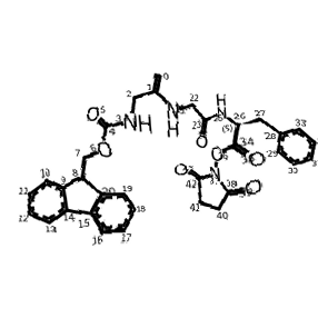 C=C(CNC(=O)OCC1c2ccccc2-c2ccccc21)NCC(=O)N[C@@H](Cc1ccccc1)C(=O)ON1C(=O)CCC1=O